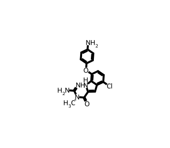 CN(C(=N)N)C(=O)c1cc2c(Cl)ccc(Oc3ccc(N)cc3)c2[nH]1